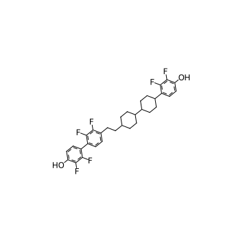 Oc1ccc(-c2ccc(CCC3CCC(C4CCC(c5ccc(O)c(F)c5F)CC4)CC3)c(F)c2F)c(F)c1F